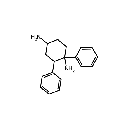 NC1CCC(N)(c2ccccc2)C(c2ccccc2)C1